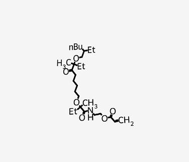 C=CC(=O)OCCNC(=O)C(C)(CC)OCCCCCC(=O)C(C)(CC)OCC(CC)CCCC